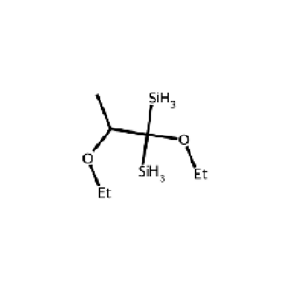 CCOC(C)C([SiH3])([SiH3])OCC